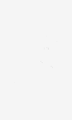 CCC(=O)NCc1nc(-c2ccc(C(F)(F)F)cc2)c2ccccn12